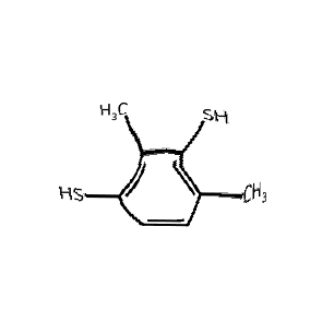 Cc1ccc(S)c(C)c1S